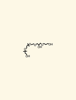 CC(C)(CCO)OCCC(C)(C)OCCOCC(O)COCCCO